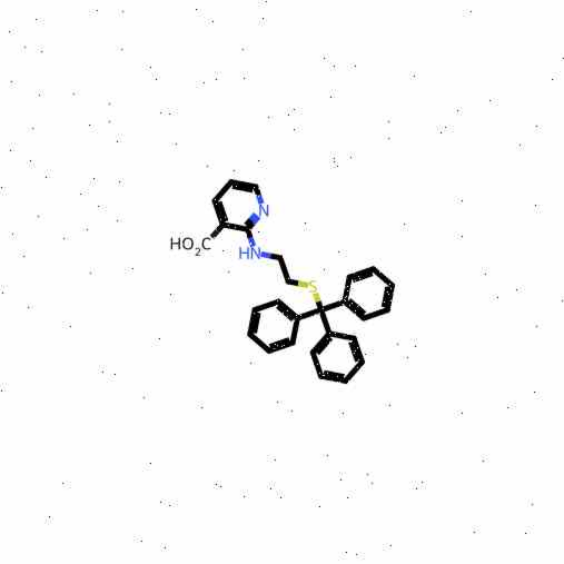 O=C(O)c1cccnc1NCCSC(c1ccccc1)(c1ccccc1)c1ccccc1